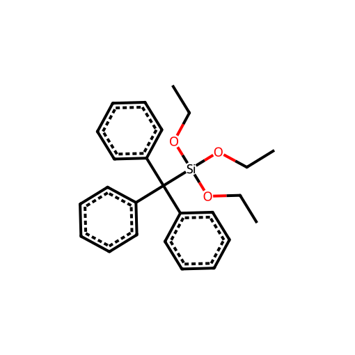 CCO[Si](OCC)(OCC)C(c1ccccc1)(c1ccccc1)c1ccccc1